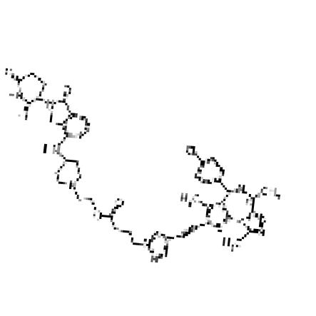 Cc1c(C#Cc2cnn(CCCC(=O)OCCN3CCC(Nc4cccc5c4CN(C4CCC(=O)NC4=O)C5=O)CC3)c2)sc2c1C(c1ccc(Cl)cc1)=N[C@@H](C)c1nnc(C)n1-2